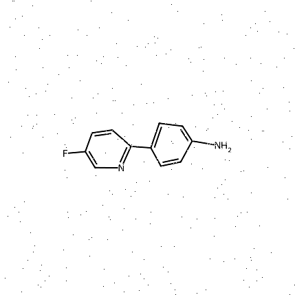 Nc1ccc(-c2ccc(F)cn2)cc1